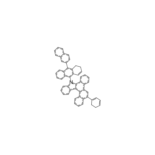 C1=CCCC(c2cc3c4ccccc4c4c(c5ccccc5n4-c4c5c(c(-c6ccc7ccccc7c6)c6ccccc46)CCC=C5)c3c3ccccc23)=C1